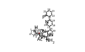 CC(=O)c1c([C@H]2CC3CC[C@@H](C2)N3C(N)=O)nc2c(-c3ccc(-c4ccccc4F)nc3)cnn2c1N